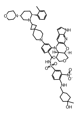 Cc1ccccc1[C@@H]1CC[C@@H](N2CCOCC2)CN1C1CC2(CCN(c3ccc(C(=O)NS(=O)(=O)c4ccc(NCC5CCC(C)(O)CC5)c([N+](=O)[O-])c4)c(N4c5cc6cc[nH]c6nc5O[C@H]5COCC[C@@H]54)c3)CC2)C1